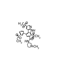 CCS(=O)(=O)c1cccc(-c2cc(C(=O)NC3CCCN(C)C3)c(S(C)(=O)=O)c3[nH]c4ncc(S(C)(=O)=O)cc4c23)c1